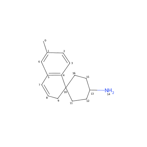 Cc1ccc2c(c1)C=CCC21CCC(N)CC1